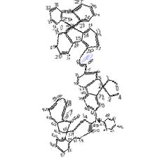 CCC1(CC)c2cc(/C=C/c3cccc4c3C3=C(CCC=C3)C4(c3ccccc3)c3ccccc3)ccc2-c2ccc(N(c3ccccc3)c3ccc4c(c3)C3(Cc5ccccc5C3)c3ccccc3-4)cc21